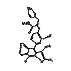 CCCc1cc(-c2c3ccccc3c(Br)c3sc(C)c(C)c23)ccc1O[C@H](Cc1ccccc1)C(=O)OC